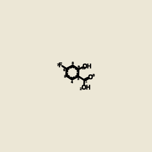 O=C(O)c1ccc(F)cc1O